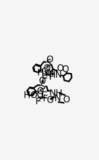 NC(CS(=O)(=O)Cc1ccccc1OC(F)F)C(=O)NC1CCCCC1=O.O=C(O)C(CS(=O)(=O)Cc1ccccc1OC(F)F)NC(=O)N1CCOCC1